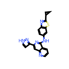 c1cnc2cc(-c3cc[nH]n3)nc(Nc3ccc4nc(C5CC5)sc4c3)c2c1